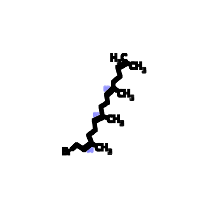 CC(C)=CCC/C(C)=C/CC/C(C)=C/CC/C(C)=C\CBr